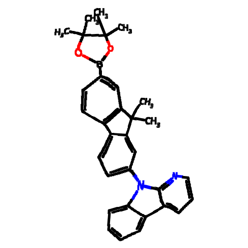 CC1(C)c2cc(B3OC(C)(C)C(C)(C)O3)ccc2-c2ccc(-n3c4ccccc4c4cccnc43)cc21